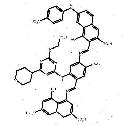 COc1cc(N=NC2=C3C(O)=CC(S(=O)(=O)O)=CC3CC(S(=O)(=O)O)=C2)c(Nc2nc(NCC(=O)O)nc(N3CCOCC3)n2)cc1/N=N/c1c(S(=O)(=O)O)cc2ccc(Nc3ccc(C(=O)O)cc3)cc2c1O